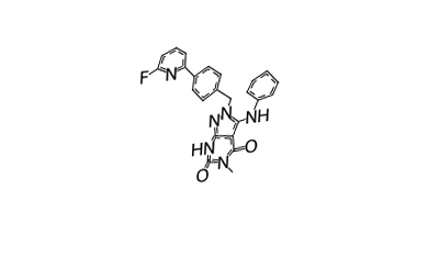 Cn1c(=O)[nH]c2nn(Cc3ccc(-c4cccc(F)n4)cc3)c(Nc3ccccc3)c2c1=O